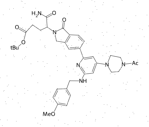 COc1ccc(CNc2cc(N3CCN(C(C)=O)CC3)cc(-c3ccc4c(c3)CN(C(CCC(=O)OC(C)(C)C)C(N)=O)C4=O)n2)cc1